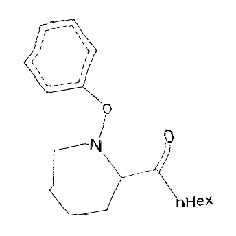 [CH2]CCCCCC(=O)C1CCCCN1Oc1ccccc1